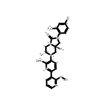 CCOc1ncccc1-c1ccc(N2C[C@H]3CN(c4ccc(Cl)cc4C(F)(F)F)C(=O)N3C[C@H]2C)c(C=O)n1